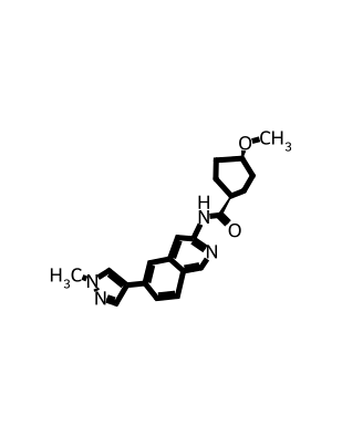 CO[C@H]1CC[C@@H](C(=O)Nc2cc3cc(-c4cnn(C)c4)ccc3cn2)CC1